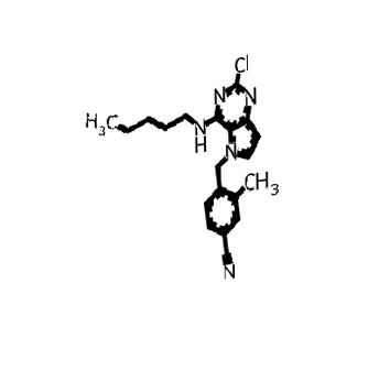 CCCCCNc1nc(Cl)nc2ccn(Cc3ccc(C#N)cc3C)c12